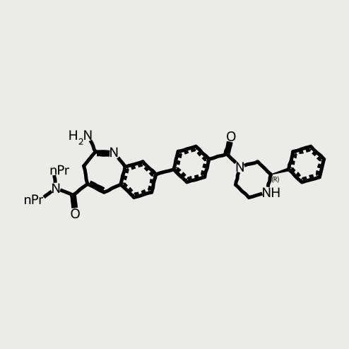 CCCN(CCC)C(=O)C1=Cc2ccc(-c3ccc(C(=O)N4CCN[C@H](c5ccccc5)C4)cc3)cc2N=C(N)C1